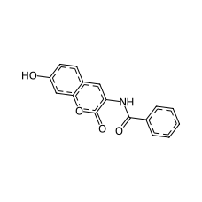 O=C(Nc1cc2ccc(O)cc2oc1=O)c1ccccc1